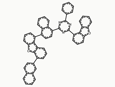 c1ccc(-c2nc(-c3ccc(-c4cccc5oc6c(-c7ccc8ccccc8c7)cccc6c45)c4ccccc34)nc(-c3cccc4oc5ccccc5c34)n2)cc1